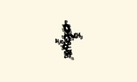 C=CC[C@]1(c2ccc(F)cc2)CCN([C@@H](C)c2ccc(-c3nnc(C)s3)cc2)C(=O)C1